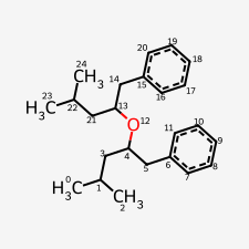 CC(C)CC(Cc1ccccc1)OC(Cc1ccccc1)CC(C)C